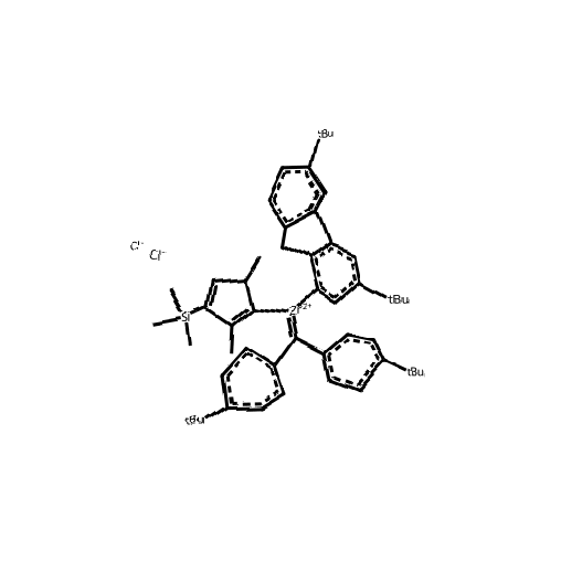 CC1=[C]([Zr+2](=[C](c2ccc(C(C)(C)C)cc2)c2ccc(C(C)(C)C)cc2)[c]2cc(C(C)(C)C)cc3c2Cc2ccc(C(C)(C)C)cc2-3)C(C)C=C1[Si](C)(C)C.[Cl-].[Cl-]